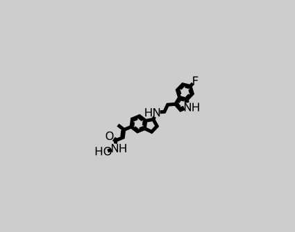 CC(=CC(=O)NO)c1ccc2c(c1)CCC2NCCc1c[nH]c2cc(F)ccc12